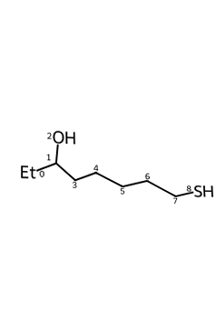 CCC(O)CCCCCS